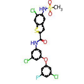 CS(=O)(=O)Nc1cc2cc(C(=O)Nc3cc(Cl)cc(Oc4cc(F)cc(Cl)c4)c3)sc2cc1Cl